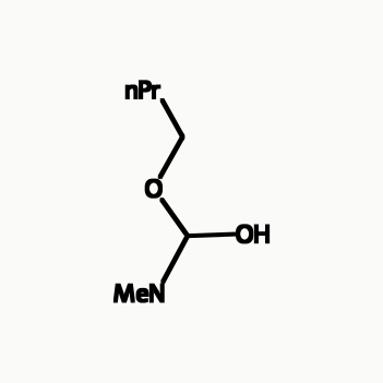 CCCCOC(O)NC